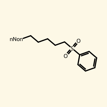 CCCCCCCCCCCCCCS(=O)(=O)c1ccccc1